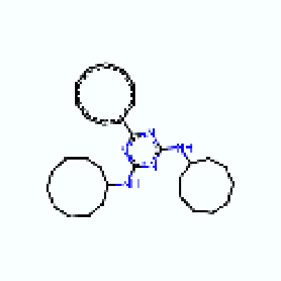 c1ccccc(-c2nc(NC3CCCCCCCCC3)nc(NC3CCCCCCCC3)n2)cccc1